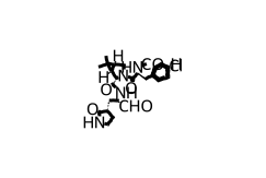 CC1(C)[C@@H]2[C@@H](C(=O)N[C@H](C=O)C[C@@H]3CCNC3=O)N(C(=O)[C@H](Cc3ccc(Cl)cc3)NC(=O)O)C[C@@H]21